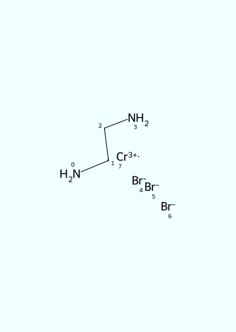 NCCN.[Br-].[Br-].[Br-].[Cr+3]